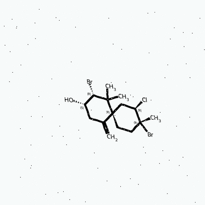 C=C1C[C@H](O)[C@H](Br)C(C)(C)[C@@]12CC[C@@](C)(Br)[C@H](Cl)C2